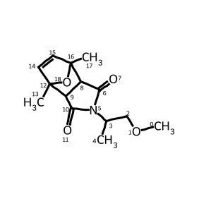 COCC(C)N1C(=O)C2C(C1=O)C1(C)C=CC2(C)O1